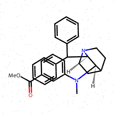 COC(=O)c1cccc(N(C)[C@@H]2C3CCN(CC3)[C@@H]2C(c2ccccc2)c2ccccc2)c1